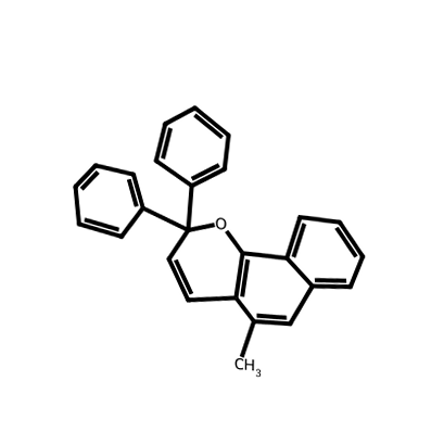 Cc1cc2ccccc2c2c1C=CC(c1ccccc1)(c1ccccc1)O2